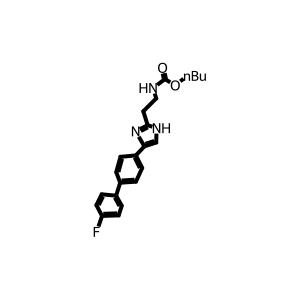 CCCCOC(=O)NCCc1nc(-c2ccc(-c3ccc(F)cc3)cc2)c[nH]1